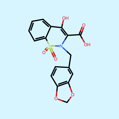 O=C(O)C1=C(O)c2ccccc2S(=O)(=O)N1Cc1ccc2c(c1)OCO2